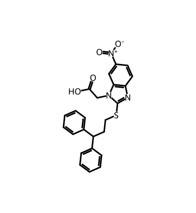 O=C(O)Cn1c(SCCC(c2ccccc2)c2ccccc2)nc2ccc([N+](=O)[O-])cc21